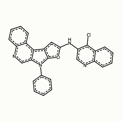 Clc1c(Nc2cc3c4c5ccccc5ncc4n(-c4ccccc4)c3o2)cnc2ccccc12